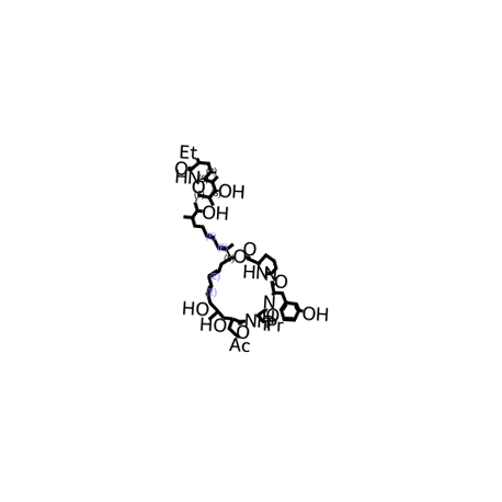 CCC1C[C@@H](C)[C@]2(NC1=O)O[C@@H](CC(O)C(C)CC/C=C/C=C(\C)[C@@H]1C/C=C/C=C/C(O)C(C)C(O)C(CCC(C)=O)C(=O)NC(C(C)C)C(=O)NC(Cc3cccc(O)c3)C(=O)N3CCCC(N3)C(=O)O1)C(C)[C@H](O)C2C